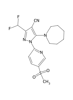 CS(=O)(=O)c1ccc(-n2nc(C(F)F)c(C#N)c2N2CCCCCC2)nc1